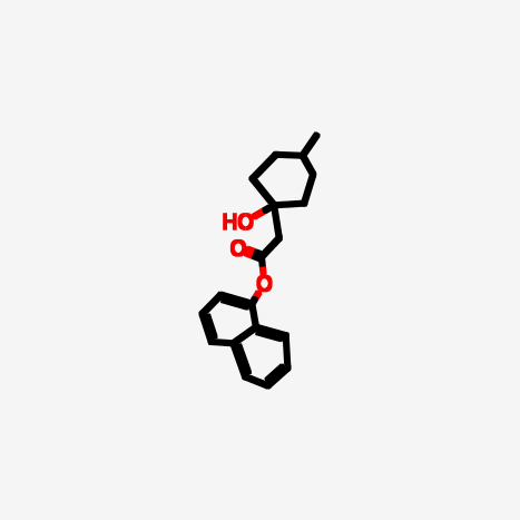 CC1CCC(O)(CC(=O)Oc2cccc3ccccc23)CC1